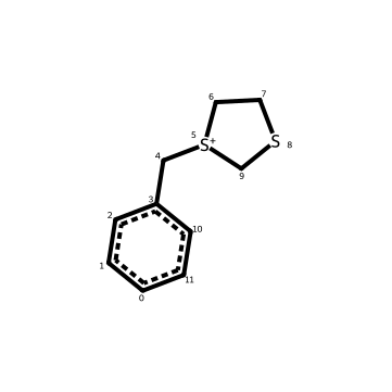 c1ccc(C[S+]2CCSC2)cc1